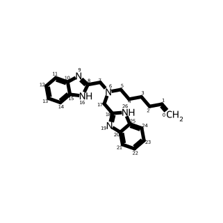 C=CCCCCN(Cc1nc2ccccc2[nH]1)Cc1nc2ccccc2[nH]1